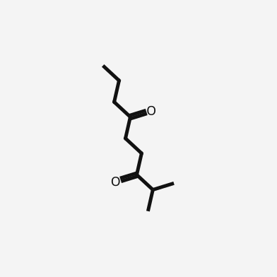 CCCC(=O)CCC(=O)C(C)C